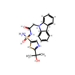 CC(C)(O)c1ncc([S@](N)(=O)=NC(=O)Cn2c3ccccc3c3ccccc32)s1